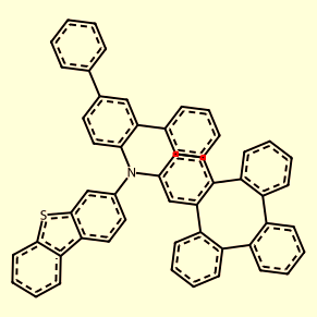 c1ccc(-c2ccc(N(c3ccc4c(c3)-c3ccccc3-c3ccccc3-c3ccccc3-4)c3ccc4c(c3)sc3ccccc34)c(-c3ccccc3)c2)cc1